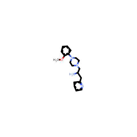 COc1ccccc1N1CCN(CC(N)Cc2ccccn2)CC1